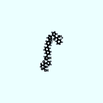 CC(C)[C@H](NC(=O)O)C(=O)N1CCC[C@H]1c1ncc(-c2ccc3cc(-c4ccc(-c5cnc([C@@H]6CCCN6C(=O)[C@@H](N)C6CCSCC6)[nH]5)cc4)ccc3c2)[nH]1